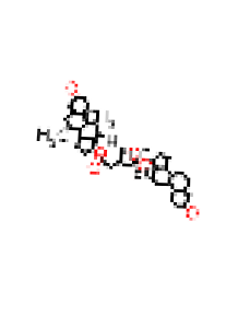 CCC12CCC3C4CCC(=O)C=C4CCC3C1CCC2(C)OC(=O)CCCC(=O)OC1CCC2C3C(C)CC4=CC(=O)CCC4(C)C3CCC12C